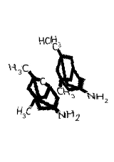 CC12CC3CC(C)(C1)CC(N)(C3)C2.CC12CC3CC(C)(C1)CC(N)(C3)C2.Cl